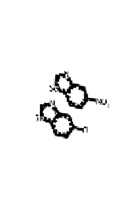 Clc1ccc2[se]cnc2c1.O=[N+]([O-])c1ccc2[se]cnc2c1